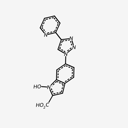 O=C(O)c1cc2ccc(-n3cc(-c4ccccn4)nn3)cc2n1O